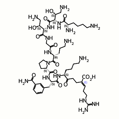 N=C(N)NCC/C=C(\CCC(=O)[C@H](CCCCN)NC(=O)[C@H](Cc1cccc(C(N)=O)c1)NC(=O)[C@@H]1CCCN1C(=O)[C@@H](CCCN)NC(=O)CNC(=O)[C@@H](NC(=O)[C@@H](NC(=O)[C@@H](N)CCCCN)[C@@H](O)CN)[C@@H](O)CN)C(=O)O